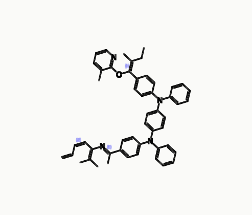 C=C/C=C\C(/N=C(\C)c1ccc(N(c2ccccc2)c2ccc(N(c3ccccc3)c3ccc(/C(Oc4ncccc4C)=C(/C)CC)cc3)cc2)cc1)=C(C)C